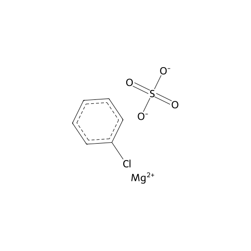 Clc1ccccc1.O=S(=O)([O-])[O-].[Mg+2]